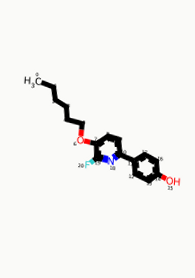 CCCCCCOc1ccc(-c2ccc(O)cc2)nc1F